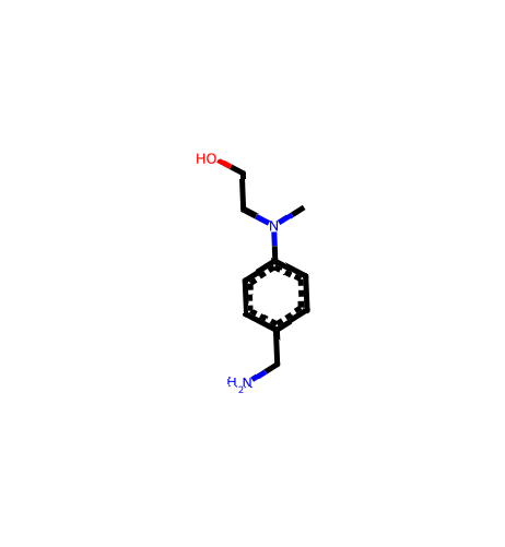 CN(CCO)c1ccc(CN)cc1